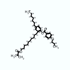 C=C(C)C(=O)OCCCCCCCCCCc1cc(CCCCCCC)ccc1OC(=O)c1ccc(OCCC)cc1